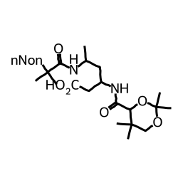 CCCCCCCCCC(C)(C)C(=O)NC(C)CC(CC(=O)O)NC(=O)C1OC(C)(C)OCC1(C)C